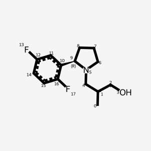 C[C]([CH]O)CN1CCC[C@@H]1c1cc(F)ccc1F